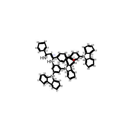 N=C(/C=C(\Nc1cc(-n2c3ccccc3c3ccccc32)cc(-n2c3ccccc3c3ccccc32)c1)c1ccc(-c2ccc(-n3c4ccccc4c4ccccc43)cc2)cc1)c1ccccc1